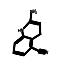 N#Cc1cccc2c1[CH]C=C(N)N2